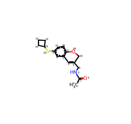 CC(=O)NCC1=Cc2cc(SC3CCC3)ccc2OC1